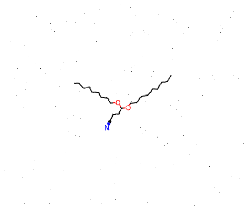 CCCCCCCCCOC(CCC#N)OCCCCCCCCC